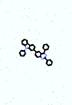 c1ccc(-c2nc(-c3ccccc3)c3cc(-c4ccc5c6ccccc6n(-c6ccccc6)c5c4)ccc3n2)cc1